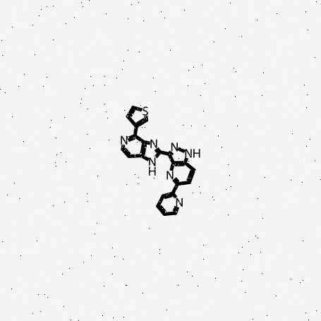 c1ccc(-c2ccc3[nH]nc(-c4nc5c(-c6ccsc6)nccc5[nH]4)c3n2)nc1